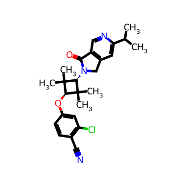 CC(C)c1cc2c(cn1)C(=O)N([C@H]1C(C)(C)[C@H](Oc3ccc(C#N)c(Cl)c3)C1(C)C)C2